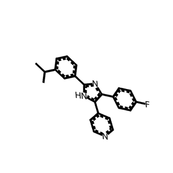 CC(C)c1cccc(-c2nc(-c3ccc(F)cc3)c(-c3ccncc3)[nH]2)c1